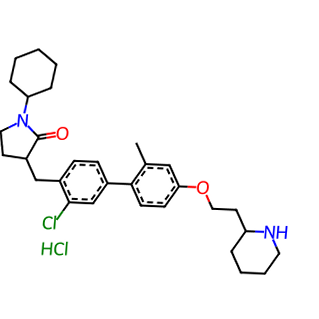 Cc1cc(OCCC2CCCCN2)ccc1-c1ccc(CC2CCN(C3CCCCC3)C2=O)c(Cl)c1.Cl